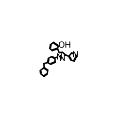 Oc1ccccc1C1CC(c2cccnc2)=NN1c1ccc(Cc2ccccc2)cc1